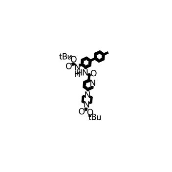 Cc1ccc(-c2ccc(NC(=O)OC(C)(C)C)c(NC(=O)c3ccc(N4CCN(C(=O)OC(C)(C)C)CC4)cn3)c2)cc1